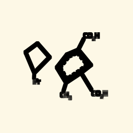 CC(C)C1CCC1.Cc1ccc(C(=O)O)cc1C(=O)O